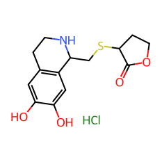 Cl.O=C1OCCC1SCC1NCCc2cc(O)c(O)cc21